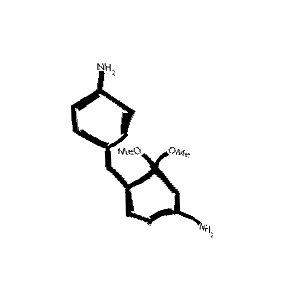 COC1(OC)CC(N)=CC=C1Cc1ccc(N)cc1